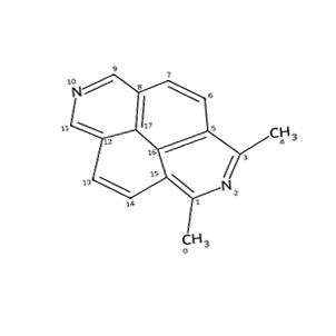 Cc1nc(C)c2ccc3cncc4ccc1c2c43